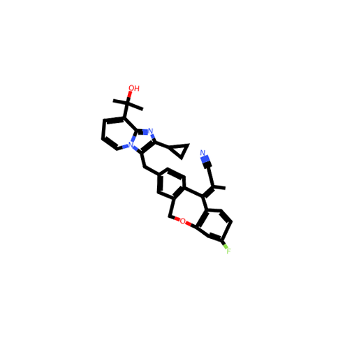 C/C(C#N)=C1/c2ccc(Cc3c(C4CC4)nc4c(C(C)(C)O)cccn34)cc2COc2cc(F)ccc21